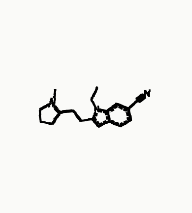 CCn1c(CCC2CCCN2C)cc2ccc(C#N)cc21